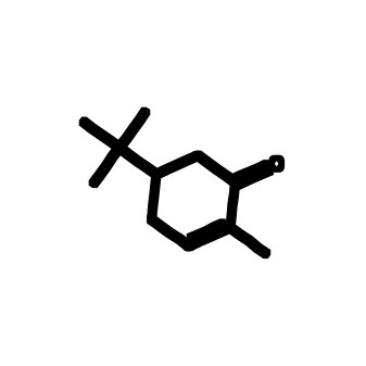 CC1=CCC(C(C)(C)C)CC1=O